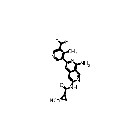 Cc1c(-c2cc3cc(NC(=O)C4C[C@H]4C#N)ncc3c(N)n2)cncc1C(F)F